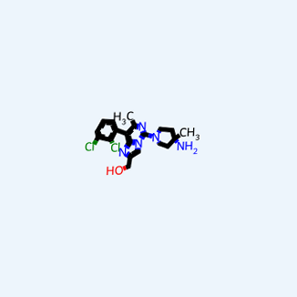 Cc1nc(N2CCC(C)(N)CC2)n2cc(CO)nc2c1-c1cccc(Cl)c1Cl